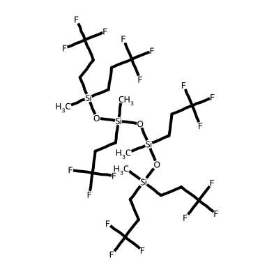 C[Si](CCC(F)(F)F)(CCC(F)(F)F)O[Si](C)(CCC(F)(F)F)O[Si](C)(CCC(F)(F)F)O[Si](C)(CCC(F)(F)F)CCC(F)(F)F